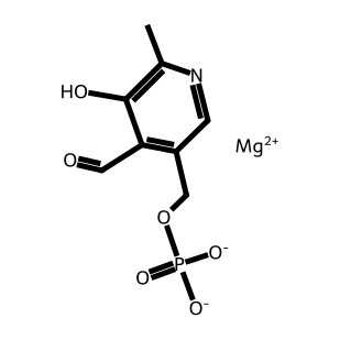 Cc1ncc(COP(=O)([O-])[O-])c(C=O)c1O.[Mg+2]